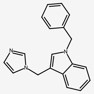 c1ccc(Cn2cc(Cn3ccnc3)c3ccccc32)cc1